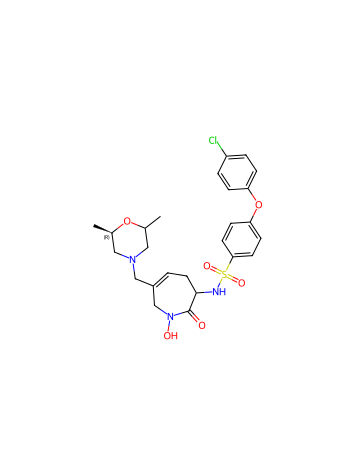 CC1CN(CC2=CCC(NS(=O)(=O)c3ccc(Oc4ccc(Cl)cc4)cc3)C(=O)N(O)C2)C[C@@H](C)O1